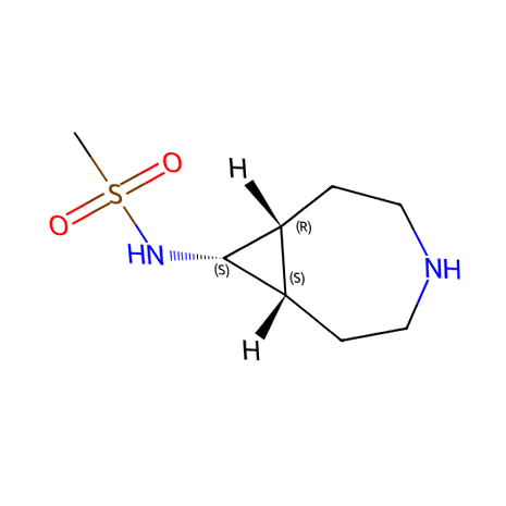 CS(=O)(=O)N[C@@H]1[C@@H]2CCNCC[C@@H]21